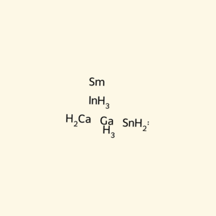 [CaH2].[GaH3].[InH3].[Sm].[SnH2]